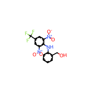 O=[N+]([O-])c1cc(C(F)(F)F)cc([N+](=O)[O-])c1Nc1ccccc1CO